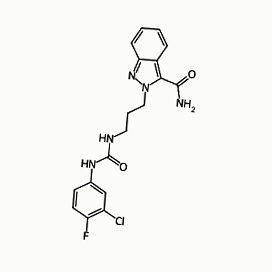 NC(=O)c1c2ccccc2nn1CCCNC(=O)Nc1ccc(F)c(Cl)c1